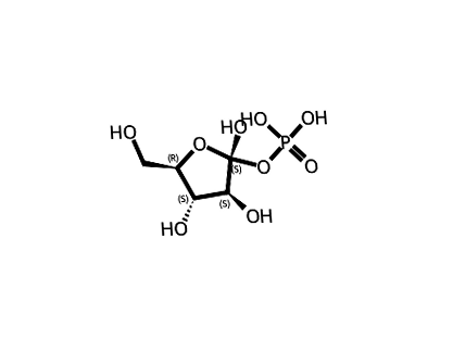 O=P(O)(O)O[C@@]1(O)O[C@H](CO)[C@@H](O)[C@@H]1O